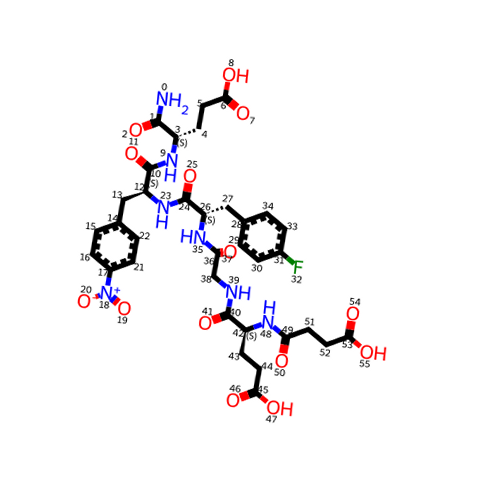 NC(=O)[C@H](CCC(=O)O)NC(=O)[C@H](Cc1ccc([N+](=O)[O-])cc1)NC(=O)[C@H](Cc1ccc(F)cc1)NC(=O)CNC(=O)[C@H](CCC(=O)O)NC(=O)CCC(=O)O